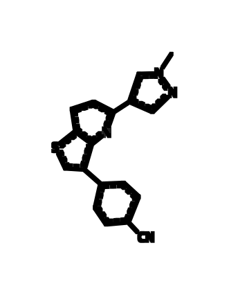 Cn1cc(-c2ccc3scc(-c4ccc(C#N)cc4)c3n2)cn1